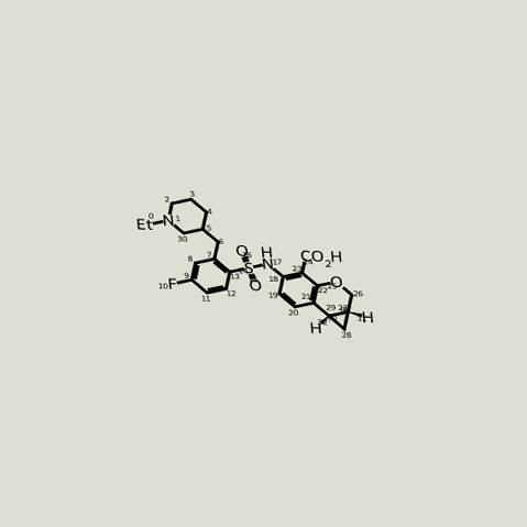 CCN1CCCC(Cc2cc(F)ccc2S(=O)(=O)Nc2ccc3c(c2C(=O)O)OC[C@@H]2C[C@H]32)C1